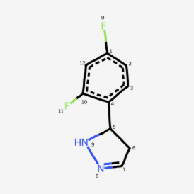 Fc1ccc(C2CC=NN2)c(F)c1